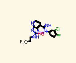 N=C(c1ccnc2nc(NCCC(F)(F)F)[nH]c12)N(O)c1ccc(F)c(Cl)c1